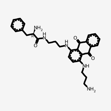 NCCCNc1ccc(NCCCNC(=O)[C@H](N)Cc2ccccc2)c2c1C(=O)c1ccccc1C2=O